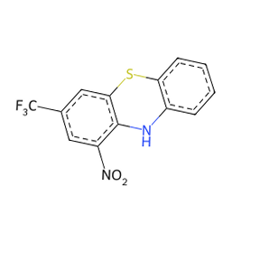 O=[N+]([O-])c1cc(C(F)(F)F)cc2c1Nc1ccccc1S2